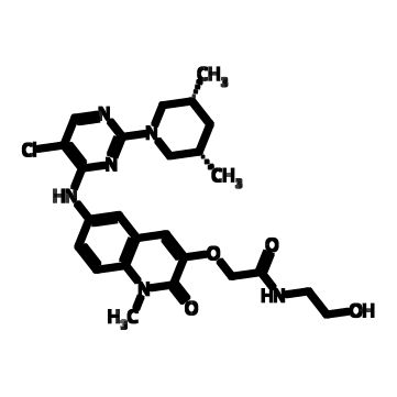 C[C@@H]1C[C@H](C)CN(c2ncc(Cl)c(Nc3ccc4c(c3)cc(OCC(=O)NCCO)c(=O)n4C)n2)C1